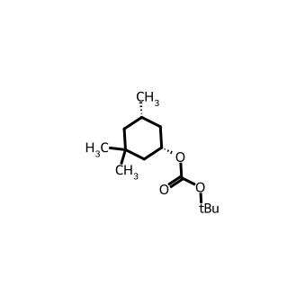 C[C@@H]1C[C@H](OC(=O)OC(C)(C)C)CC(C)(C)C1